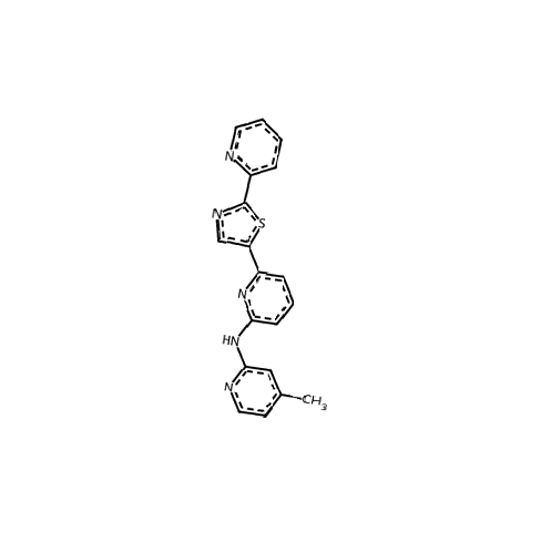 Cc1ccnc(Nc2cccc(-c3cnc(-c4ccccn4)s3)n2)c1